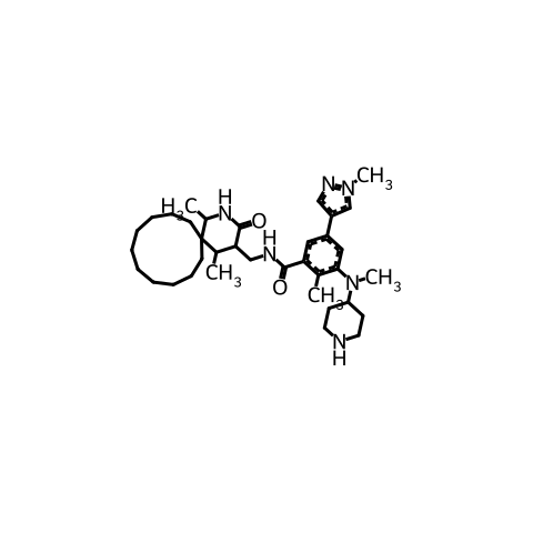 Cc1c(C(=O)NCC2C(=O)NC(C)C3(CCCCCCCCCC3)C2C)cc(-c2cnn(C)c2)cc1N(C)C1CCNCC1